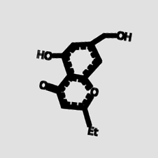 CCc1cc(=O)c2c(O)cc(CO)cc2o1